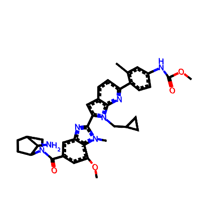 COC(=O)Nc1ccc(-c2ccc3cc(-c4nc5cc(C(=O)N6CC7CCC6C7N)cc(OC)c5n4C)n(CC4CC4)c3n2)c(C)c1